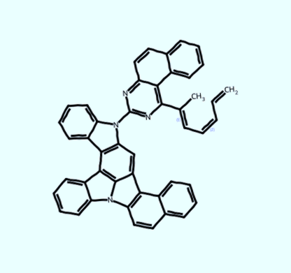 C=C/C=C\C=C(/C)c1nc(-n2c3ccccc3c3c4c5ccccc5n5c6ccc7ccccc7c6c(cc32)c45)nc2ccc3ccccc3c12